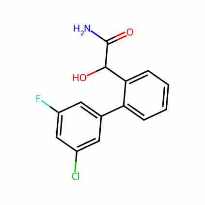 NC(=O)C(O)c1ccccc1-c1cc(F)cc(Cl)c1